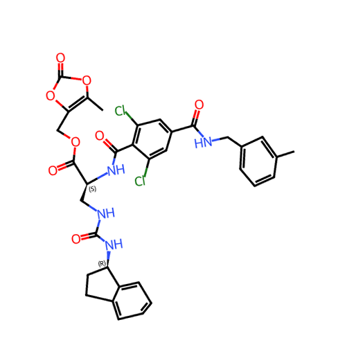 Cc1cccc(CNC(=O)c2cc(Cl)c(C(=O)N[C@@H](CNC(=O)N[C@@H]3CCc4ccccc43)C(=O)OCc3oc(=O)oc3C)c(Cl)c2)c1